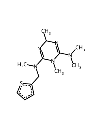 CC1N=C(N(C)C)N(C)C(N(C)Cc2cccs2)=N1